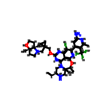 CC[C@@H]1CN2c3nc(OCC4(CN5CC[C@H]6OCC[C@H]65)CC4)nc4c(F)c(-c5cc(N)nc(C)c5C(F)(F)F)nc(c34)O[C@@H](C)[C@@H]2CN1